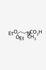 CCOC(CCCN(C)C(=O)O)OCC